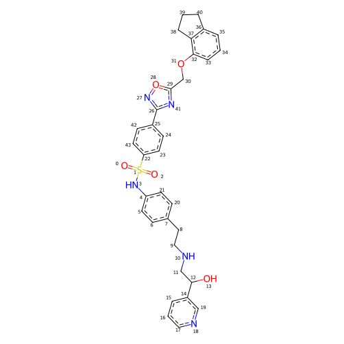 O=S(=O)(Nc1ccc(CCNCC(O)c2cccnc2)cc1)c1ccc(-c2noc(COc3cccc4c3CCC4)n2)cc1